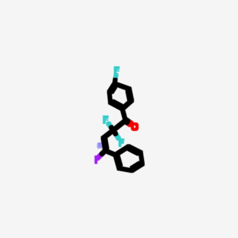 O=C(c1ccc(F)cc1)C(F)(F)/C=C(/I)c1ccccc1